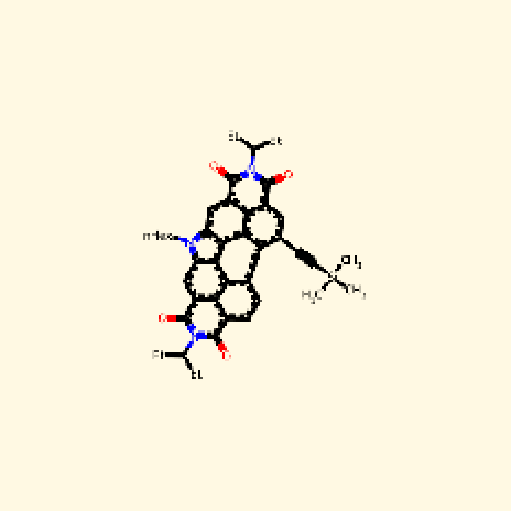 CCCCCCn1c2cc3c(=O)n(C(CC)CC)c(=O)c4ccc5c6c(C#C[Si](C)(C)C)cc7c(=O)n(C(CC)CC)c(=O)c8cc1c(c6c78)c2c5c43